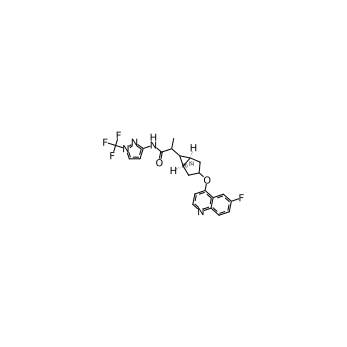 CC(C(=O)Nc1ccn(C(F)(F)F)n1)C1[C@H]2CC(Oc3ccnc4ccc(F)cc34)C[C@@H]12